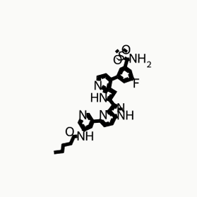 CCCCC(=O)Nc1cncc(-c2ccc3[nH]nc(-c4cc5c(-c6cc(F)cc(C(N)S(C)(=O)=O)c6)ccnc5[nH]4)c3n2)c1